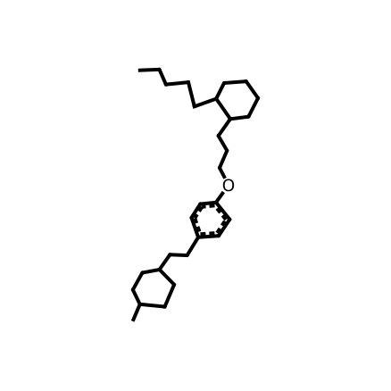 CCCCCC1CCCCC1CCCOc1ccc(CCC2CCC(C)CC2)cc1